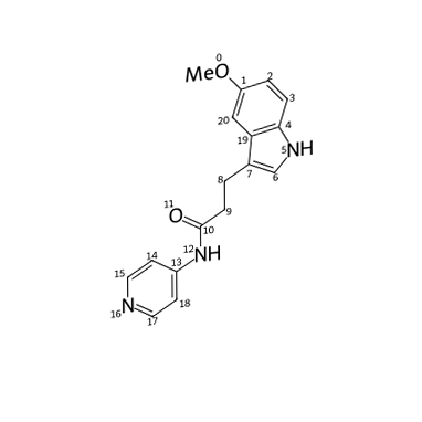 COc1ccc2[nH]cc(CCC(=O)Nc3ccncc3)c2c1